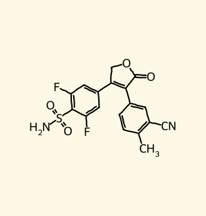 Cc1ccc(C2=C(c3cc(F)c(S(N)(=O)=O)c(F)c3)COC2=O)cc1C#N